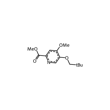 COC(=O)c1cc(OC)c(OCC(C)(C)C)cn1